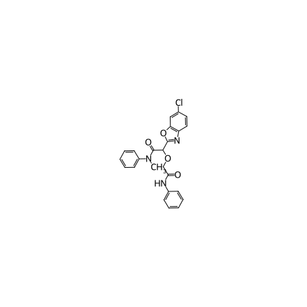 CN(C(=O)C(OCC(=O)Nc1ccccc1)c1nc2ccc(Cl)cc2o1)c1ccccc1